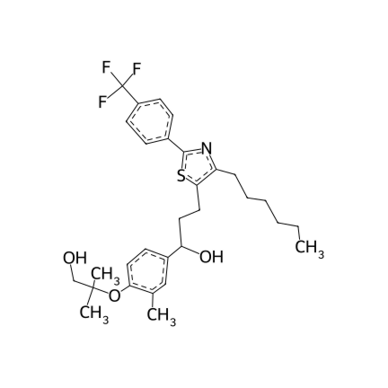 CCCCCCc1nc(-c2ccc(C(F)(F)F)cc2)sc1CCC(O)c1ccc(OC(C)(C)CO)c(C)c1